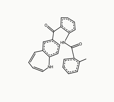 Cc1ccccc1C(=O)Nc1ccccc1C(=O)c1ccc2c(c1)C=CC=CN2